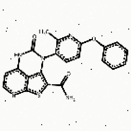 Cc1nc(Oc2ccccc2)ccc1N1C(=O)Nc2ccnc3sc(C(N)=O)c1c23